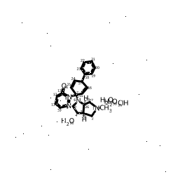 CN1C[C@H]2CCN(C3(n4ncccc4=O)C=CC(c4ccccc4)C=C3)[C@H]2C1.Cl.O.O.O